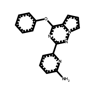 Nc1cccc(-c2nc(Oc3ccccc3)c3cccn3n2)n1